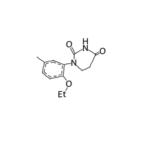 CCOc1ccc(C)cc1N1CCC(=O)NC1=O